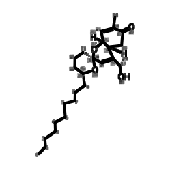 CCCCCCCCCC[C@H]1CCC[C@]2(C=C(CO)[C@H]3CC(=O)C(C)=C[C@H]3O2)O1